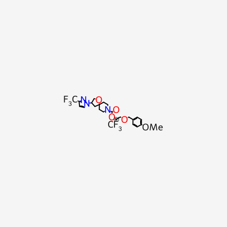 COc1ccc(COC[C@@H](OC(=O)N2CCC3(CC2)CC(n2ccc(C(F)(F)F)n2)CO3)C(F)(F)F)cc1